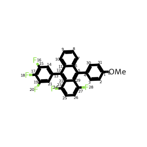 COc1ccc(-c2c3ccccc3c(-c3cc(F)c(F)c(F)c3)c3c(F)ccc(F)c23)cc1